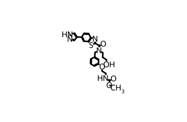 COC(=O)NCCOc1cccc(CN(CCCO)C(=O)c2nc3ccc(-c4cn[nH]c4)cc3s2)c1